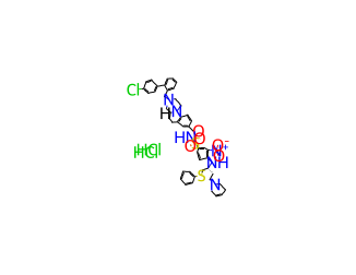 Cl.Cl.O=C(NS(=O)(=O)c1ccc(N[C@H](CCN2CC=CCC2)CSc2ccccc2)c([N+](=O)[O-])c1)c1ccc2c(c1)CC[C@@H]1CN(Cc3ccccc3-c3ccc(Cl)cc3)CCN21